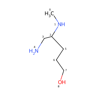 CNC(CN)CCCO